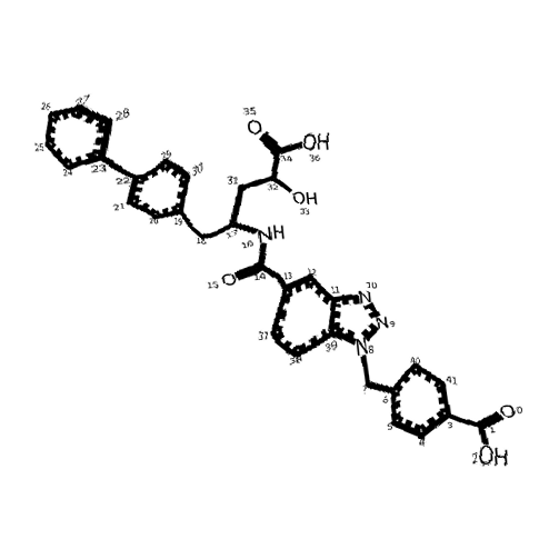 O=C(O)c1ccc(Cn2nnc3cc(C(=O)NC(Cc4ccc(-c5ccccc5)cc4)CC(O)C(=O)O)ccc32)cc1